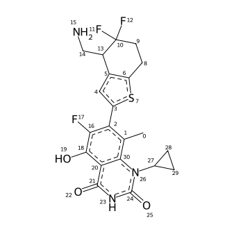 Cc1c(-c2cc3c(s2)CCC(F)(F)C3CN)c(F)c(O)c2c(=O)[nH]c(=O)n(C3CC3)c12